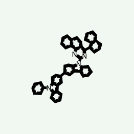 c1ccc(-n2c3ccccc3c3cc(-c4ccc5c(c4)c4ccccc4n5-c4nc(-c5cccc6ccccc56)c5ccc6ccccc6c5n4)ccc32)cc1